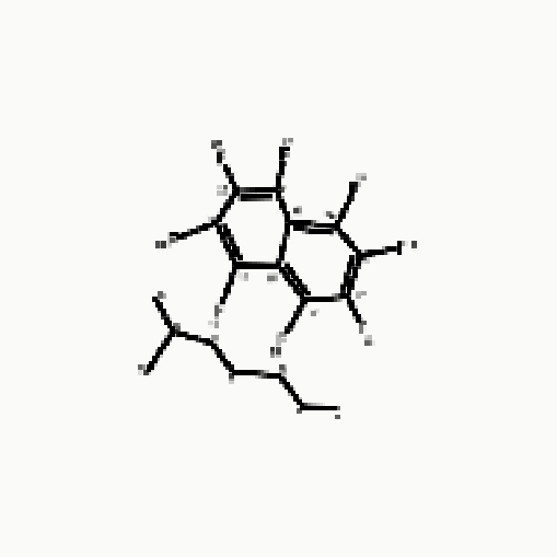 CCCCCC(C)C.Fc1c(F)c(F)c2c(F)c(F)c(F)c(F)c2c1F